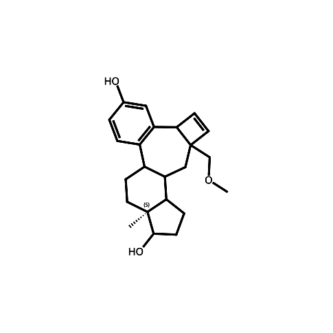 COCC12C=CC1c1cc(O)ccc1C1CC[C@]3(C)C(O)CCC3C1C2